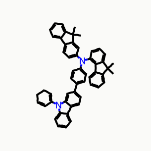 CC1(C)c2ccccc2-c2ccc(N(c3ccc(-c4ccc5c6ccccc6n(C6=CCCC=C6)c5c4)cc3)c3cccc4c3-c3ccccc3C4(C)C)cc21